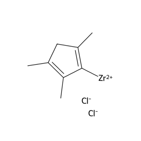 CC1=C(C)[C]([Zr+2])=C(C)C1.[Cl-].[Cl-]